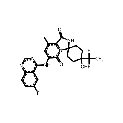 Cc1cc(Nc2ncnc3ccc(F)cc23)c(=O)n2c1C(=O)NC21CCC(O)(C(F)(F)C(F)(F)F)CC1